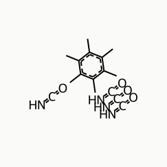 Cc1c(C)c(C)c(C)c(C)c1C.N=C=O.N=C=O.N=C=O.N=C=O